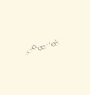 Cc1ccc(C(=O)NCc2cc3nc(-c4cccc(N5CCC6(CCO6)CC5)n4)ccc3cn2)cc1S(C)(=O)=O